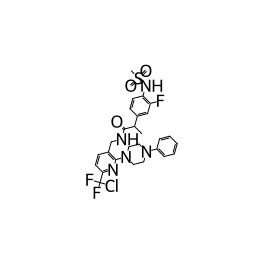 CC(C(=O)NCc1ccc(C(F)(F)Cl)nc1N1CCN(c2ccccc2)CC1)c1ccc(NS(C)(=O)=O)c(F)c1